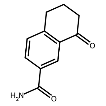 NC(=O)c1ccc2c(c1)C(=O)CCC2